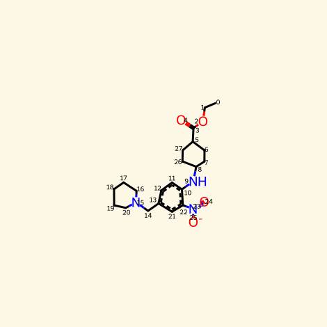 CCOC(=O)C1CCC(Nc2ccc(CN3CCCCC3)cc2[N+](=O)[O-])CC1